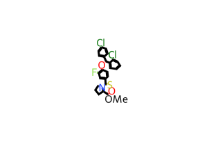 COC(=O)C1CCCN1C(=S)c1ccc(OC(c2ccc(Cl)cc2)c2ccccc2Cl)c(F)c1